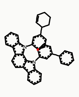 C1=CC(c2cccc(-n3c4ccccc4c4ccc5c6ccccc6n(-c6cccc(-c7ccccc7)c6)c5c43)c2)CCC1